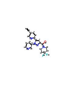 C#Cc1ccc(-c2cc(C(=O)N3CCC(F)(F)CC3)nn2-c2cccnc2)nc1